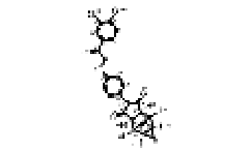 COc1ccc(C(=O)COc2ccc(N3C(=O)[C@@H]4[C@@H]5C=C[C@@H]([C@H]6C[C@@H]56)[C@@H]4C3=O)cc2)cc1Cl